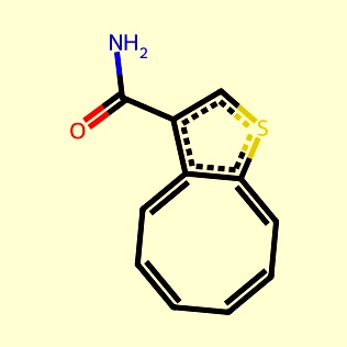 NC(=O)c1csc2/c1=C\C=C/C=C\C=2